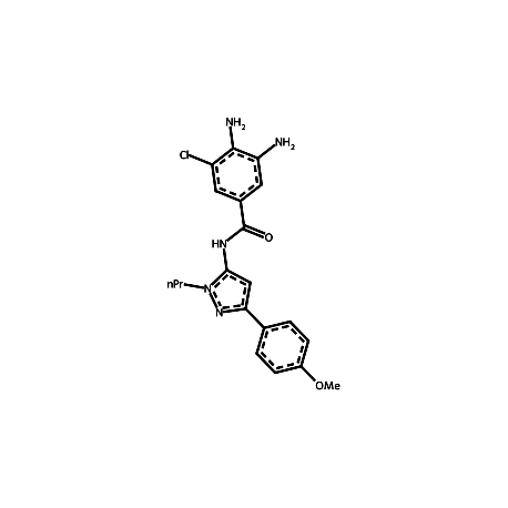 CCCn1nc(-c2ccc(OC)cc2)cc1NC(=O)c1cc(N)c(N)c(Cl)c1